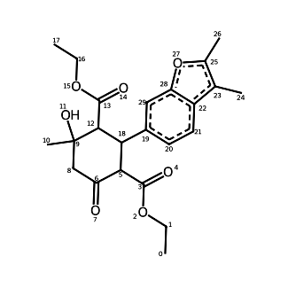 CCOC(=O)C1C(=O)CC(C)(O)C(C(=O)OCC)C1c1ccc2c(C)c(C)oc2c1